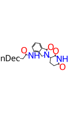 CCCCCCCCCCCC(=O)Nc1cccc2c1CN(C1CCC(=O)NC1=O)C2=O